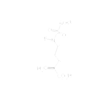 C=C(CCCN(F)S(=O)(=O)CCCCCCCC)C(=O)O